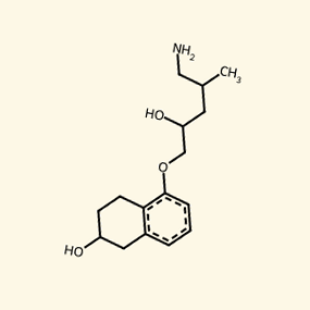 CC(CN)CC(O)COc1cccc2c1CCC(O)C2